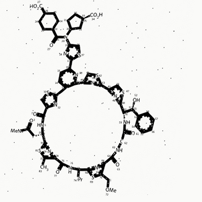 CNC(=O)C[C@@H]1NC(=O)c2csc(n2)-c2ccc(-c3nc(N(C(=O)C4CCC(C(=O)O)CC4)C4CC[C@@H](C(=O)O)C4)cs3)nc2-c2csc(n2)-c2csc(n2)[C@H]([C@@H](O)c2ccccc2)NC(=O)CNC(=O)c2nc(sc2COC)C(C(C)C)NC(=O)c2nc1sc2C